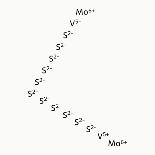 [Mo+6].[Mo+6].[S-2].[S-2].[S-2].[S-2].[S-2].[S-2].[S-2].[S-2].[S-2].[S-2].[S-2].[V+5].[V+5]